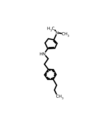 CCCc1ccc(CCNC2=CC=C(N(C)C)CC2)cc1